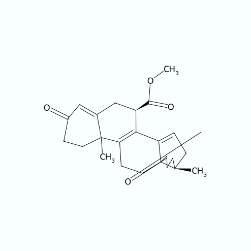 COC(=O)[C@@H]1CC2=CC(=O)CCC2(C)C2=C1C1=CC[C@@]3(C)CCC(=O)C13CC2